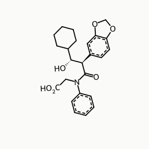 O=C(O)CN(C(=O)[C@H](c1ccc2c(c1)OCO2)[C@H](O)C1CCCCC1)c1ccccc1